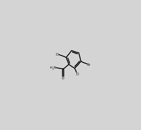 NC(=O)c1c(Cl)ccc(Br)c1Cl